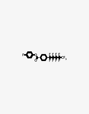 O=C(Oc1ccc(F)cc1)[C@H]1CC[C@H](C(F)(F)C(F)(F)C(F)(F)C(F)(F)C(F)(F)F)CC1